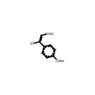 CC/C(=C/C=O)c1ccc(OC)cc1